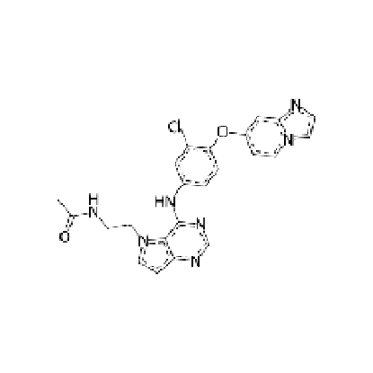 CC(=O)NCCn1ccc2ncnc(Nc3ccc(Oc4ccn5ccnc5c4)c(Cl)c3)c21